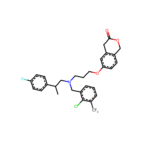 CC(CN(CCCOc1ccc2c(c1)CC(=O)OC2)Cc1cccc(C(F)(F)F)c1Cl)c1ccc(F)cc1